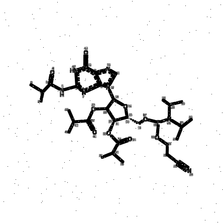 CC(C)C(=O)Nc1nc2c(ncn2C2O[C@H](COP(OCCC#N)N(C(C)C)C(C)C)[C@@H](OC(=O)C(C)C)C2OC(=O)C(C)C)c(=O)[nH]1